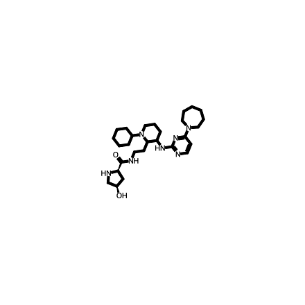 O=C(NCCC1C(Nc2nccc(N3CCCCCC3)n2)CCCN1C1CCCCC1)[C@H]1C[C@@H](O)CN1